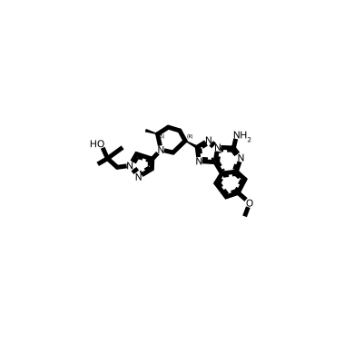 COc1ccc2c(c1)nc(N)n1nc([C@@H]3CC[C@H](C)N(c4cnn(CC(C)(C)O)c4)C3)nc21